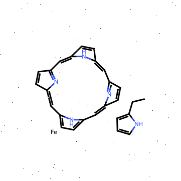 C1=Cc2cc3ccc(cc4nc(cc5ccc(cc1n2)[nH]5)C=C4)[nH]3.CCc1ccc[nH]1.[Fe]